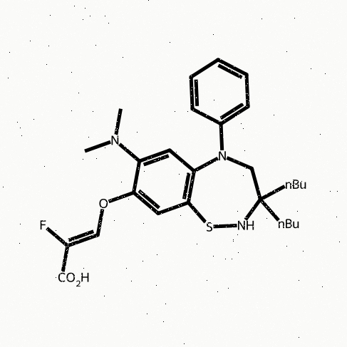 CCCCC1(CCCC)CN(c2ccccc2)c2cc(N(C)C)c(O/C=C(\F)C(=O)O)cc2SN1